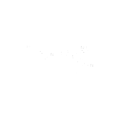 C=C(S/C(=N\N)c1ccc(OC(C)C)c(C#N)c1)c1ccc2c(c1)CCN(C(=O)CNCCO)CC2